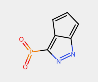 O=P(=O)C1=C2C=CC=C2N=N1